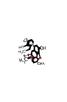 CCc1c(O)c(=O)ccn1-c1cc(O)c2c3c1C[C@@H]1[C@@H]4C=C[C@H](O)[C@H](O2)[C@]34CCN1C